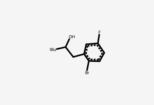 CC(C)(C)C(O)Cc1cc(F)ccc1Br